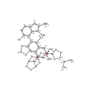 C[C@@H](O)CN1CC2CCC(C1)N2c1nc(N2CC[C@H](N(C)C)C2)nc2c(F)c(-c3c(F)ccc4sc(N)c(C#N)c34)c3c(c12)COC3